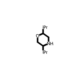 CC(C)C1COC(C(C)C)CN1